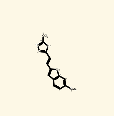 COc1ccc2cc(C=Cc3nnc(C(Cl)(Cl)Cl)o3)oc2c1